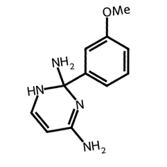 COc1cccc(C2(N)N=C(N)C=CN2)c1